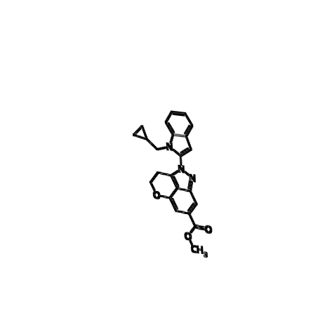 COC(=O)c1cc2c3c(n(-c4cc5ccccc5n4CC4CC4)nc3c1)CCO2